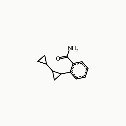 NC(=O)c1ccccc1C1CC1C1CC1